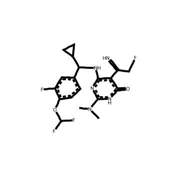 CN(C)c1nc(NC(c2ccc(OC(F)F)c(F)c2)C2CC2)c(C(=N)CF)c(=O)[nH]1